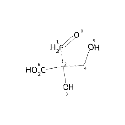 O=[PH2]C(O)(CO)C(=O)O